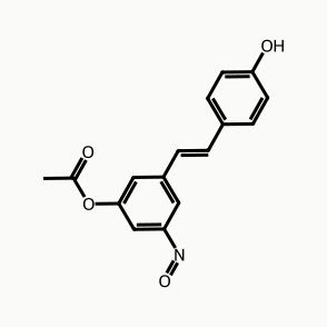 CC(=O)Oc1cc(/C=C/c2ccc(O)cc2)cc(N=O)c1